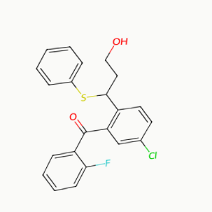 O=C(c1ccccc1F)c1cc(Cl)ccc1C(CCO)Sc1ccccc1